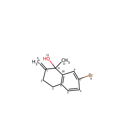 C=C1CCc2ccc(Br)cc2C1(C)O